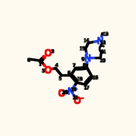 CC(=O)OCCc1cc(N2CCN(C)CC2)ccc1[N+](=O)[O-]